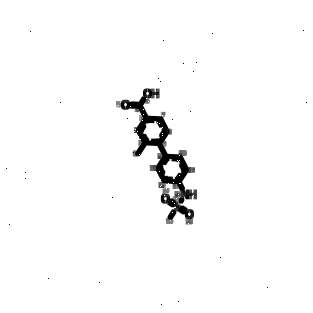 Cc1cc(C(=O)O)ccc1-c1ccc(NS(C)(=O)=O)cc1